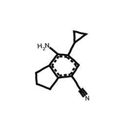 N#Cc1cc(C2CC2)c(N)c2c1CCC2